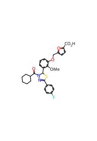 COc1c(OCc2ccc(C(=O)O)o2)cccc1C1SC(c2ccc(F)cc2)=NN1C(=O)C1CCCCC1